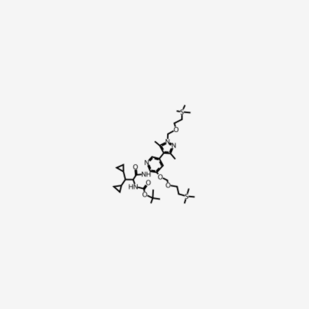 Cc1nn(COCCS(C)(C)C)c(C)c1-c1cnc(NC(=O)C(NC(=O)OC(C)(C)C)C(C2CC2)C2CC2)c(OCOCCS(C)(C)C)c1